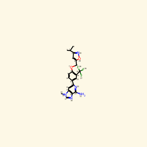 CC(C)c1cc(COc2ccc(-c3cc4c(ncn4C)c(N)n3)cc2C(F)(F)F)on1